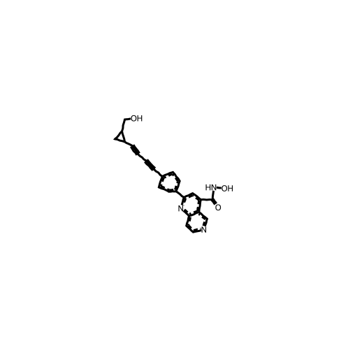 O=C(NO)c1cc(-c2ccc(C#CC#CC3CC3CO)cc2)nc2ccncc12